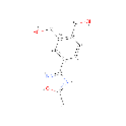 Cc1nc(-c2ccc(CO)c(CO)c2)no1